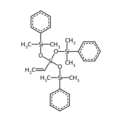 C=C[Si](O[Si](C)(C)c1ccccc1)(O[Si](C)(C)c1ccccc1)O[Si](C)(C)c1ccccc1